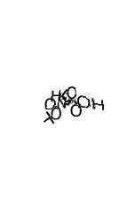 CC(C)(C)OC(=O)N1C[C@]2(C(=O)O)C[C@H]1CO2